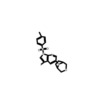 Cc1ccc(S(=O)(=O)n2cc(I)c3cc(N4C5CCC4COC5)cnc32)cc1